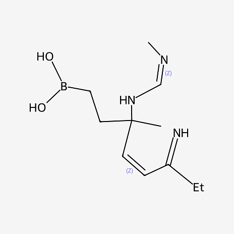 CCC(=N)/C=C\C(C)(CCB(O)O)N/C=N\C